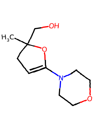 CC1(CO)CC=C(N2CCOCC2)O1